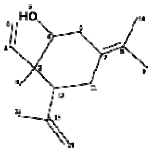 C=CC1(C)C(O)CC(=C(C)C)CC1C(=C)C